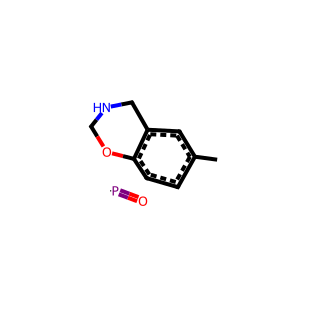 Cc1ccc2c(c1)CNCO2.O=[P]